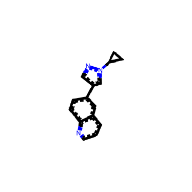 c1cnc2ccc(-c3cnn(C4CC4)c3)cc2c1